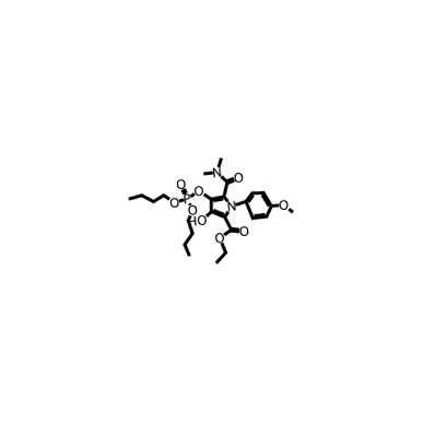 CCCCOP(=O)(OCCCC)Oc1c(O)c(C(=O)OCC)n(-c2ccc(OC)cc2)c1C(=O)N(C)C